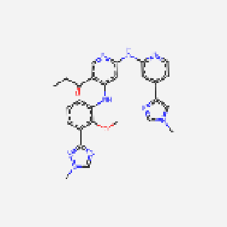 CCC(=O)c1cnc(Nc2cc(-c3cn(C)cn3)ccn2)cc1Nc1cccc(-c2ncn(C)n2)c1OC